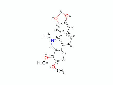 COC1=CC=C2C(=CN(C)c3c2ccc2cc4c(cc32)OCO4)C1OC